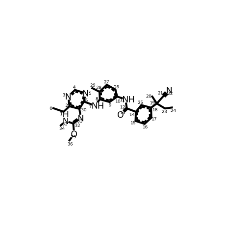 CCc1ncnc(Nc2cc(NC(=O)c3cccc(C(C)(C#N)CC)c3)ccc2C)c1/N=C(\NC)OC